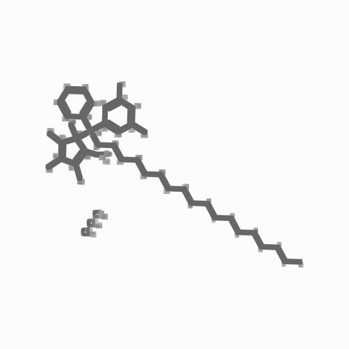 CCCCCCCCCCCCCCCCCC[Si](c1ccccc1)(c1cc(C)cc(C)c1)C1(C)C(C)=C(C)C(C)=[C]1[Ti+3].[Cl-].[Cl-].[Cl-]